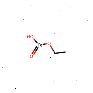 CCO[Te](=O)O